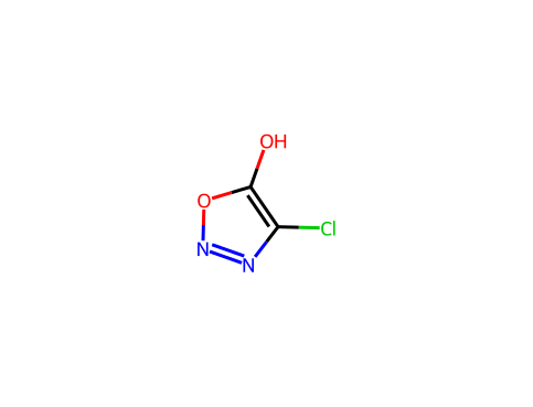 Oc1onnc1Cl